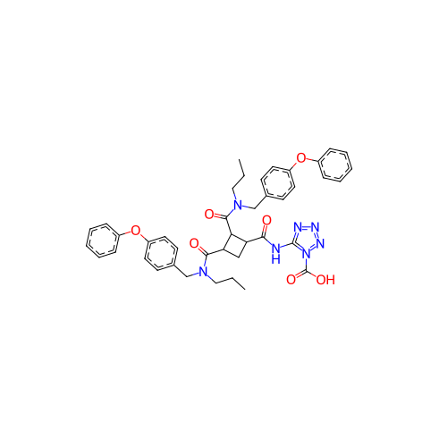 CCCN(Cc1ccc(Oc2ccccc2)cc1)C(=O)C1CC(C(=O)Nc2nnnn2C(=O)O)C1C(=O)N(CCC)Cc1ccc(Oc2ccccc2)cc1